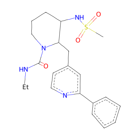 CCNC(=O)N1CCCC(NS(C)(=O)=O)C1Cc1ccnc(-c2ccccc2)c1